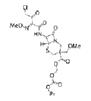 COCC1(C(=O)OCOC(=O)OC(C)C)CS[C@@H]2C(NC(=O)C(=NOC)C(=O)CCl)C(=O)N2C1